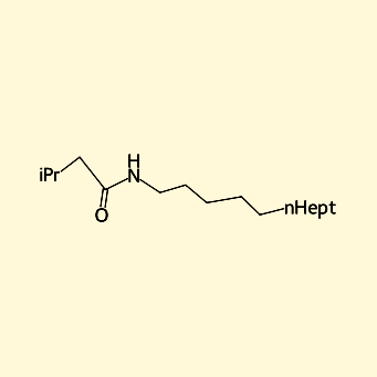 CCCCCCCCCCCCNC(=O)CC(C)C